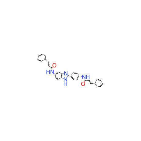 O=C(C=Cc1ccccc1)Nc1ccc(-c2nc3cc(NC(=O)C=Cc4ccccc4)ccc3[nH]2)cc1